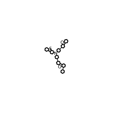 c1ccc(-c2cccc3c2oc2ccc(-c4ccc(N(c5ccc(-c6ccc7c(c6)oc6ccccc67)cc5)c5ccc6c(c5)sc5ccccc56)cc4)cc23)cc1